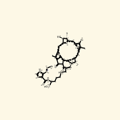 CC[C@@H]1c2cc3[nH]c4c(c3C)C(=O)C(C(=O)OC)c4c3nc(cc4[nH]c(cc(n2)[C@H]1C)c(C(C)=O)c4C)[C@H](C)[C@H]3CCCNCCCC(NC(=O)c1nc[nH]c1/N=N/C(C)C)C(=O)O